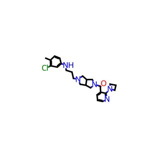 Cc1ccc(NCCCN2CC3CN(C(=O)c4cccnc4N4CCC4)CC3C2)cc1Cl